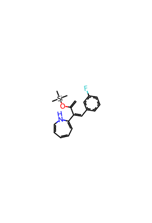 C=C(O[Si](C)(C)C)C(=Cc1cccc(F)c1)C1=CC=CC=CN1